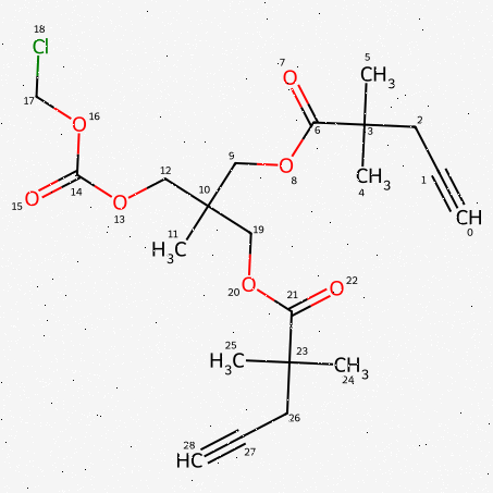 C#CCC(C)(C)C(=O)OCC(C)(COC(=O)OCCl)COC(=O)C(C)(C)CC#C